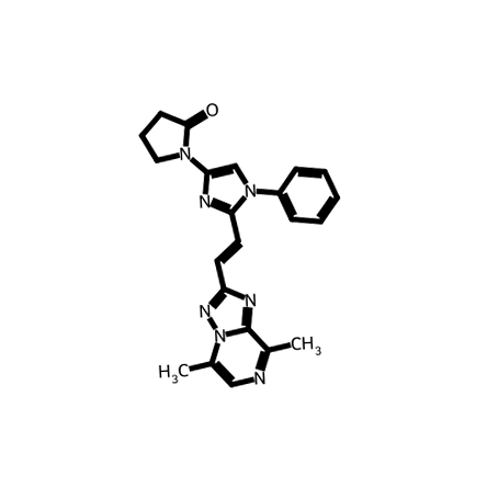 Cc1ncc(C)n2nc(C=Cc3nc(N4CCCC4=O)cn3-c3ccccc3)nc12